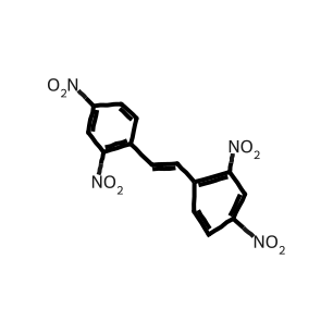 O=[N+]([O-])c1ccc(/C=C/c2ccc([N+](=O)[O-])cc2[N+](=O)[O-])c([N+](=O)[O-])c1